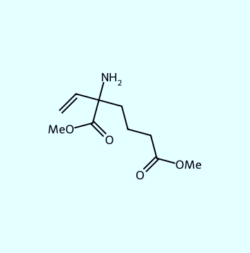 C=CC(N)(CCCC(=O)OC)C(=O)OC